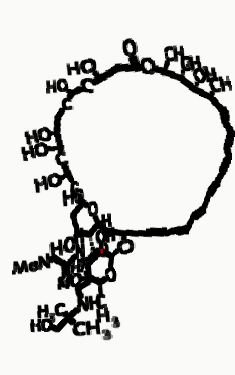 CNCC(=O)N[C@@H]1[C@H](O)[C@@H](O[C@H]2/C=C/C=C/C=C/C=C/C=C/C=C/C=C/[C@H](C)[C@@H](O)[C@@H](C)[C@H](C)OC(=O)C[C@H](O)C[C@H](O)CC[C@@H](O)[C@H](O)C[C@H](O)C[C@]3(O)C[C@H](O)[C@@H](C(=O)NCCNC(C)(C)CO)[C@H](C2)O3)O[C@@H](C)[C@H]1O